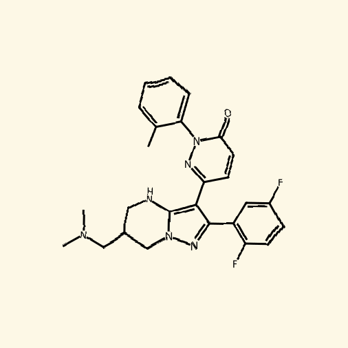 Cc1ccccc1-n1nc(-c2c(-c3cc(F)ccc3F)nn3c2NCC(CN(C)C)C3)ccc1=O